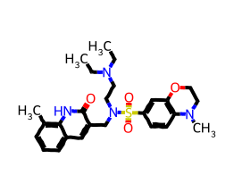 CCN(CC)CCN(Cc1cc2cccc(C)c2[nH]c1=O)S(=O)(=O)c1ccc2c(c1)OCCN2C